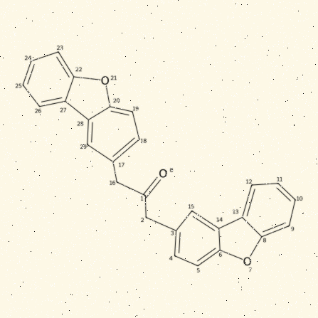 O=C(Cc1ccc2oc3ccccc3c2c1)Cc1ccc2oc3ccccc3c2c1